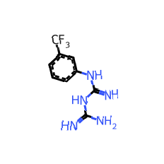 N=C(N)NC(=N)Nc1cccc(C(F)(F)F)c1